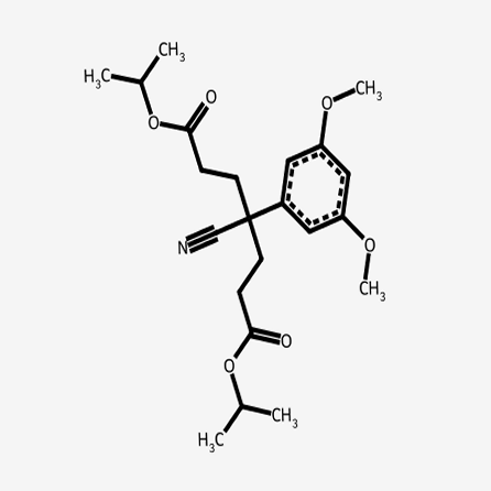 COc1cc(OC)cc(C(C#N)(CCC(=O)OC(C)C)CCC(=O)OC(C)C)c1